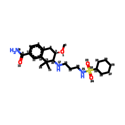 CO[C@H]1Cc2ccc(C(N)=O)cc2C(C)(C)[C@@H]1NCCCNS(=O)(=O)C1CCCCC1